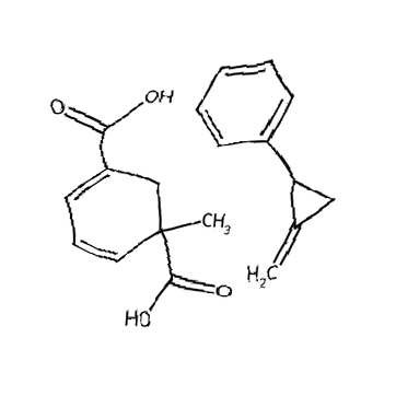 C=C1CC1c1ccccc1.CC1(C(=O)O)C=CC=C(C(=O)O)C1